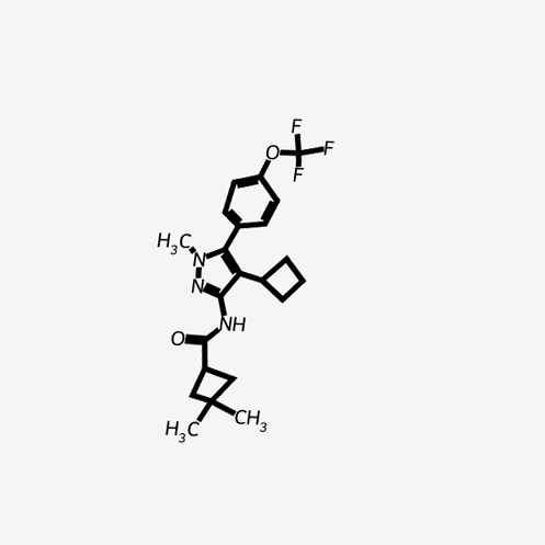 Cn1nc(NC(=O)C2CC(C)(C)C2)c(C2CCC2)c1-c1ccc(OC(F)(F)F)cc1